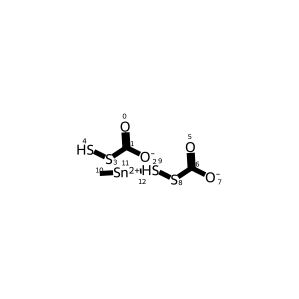 O=C([O-])SS.O=C([O-])SS.[CH3][Sn+2][CH3]